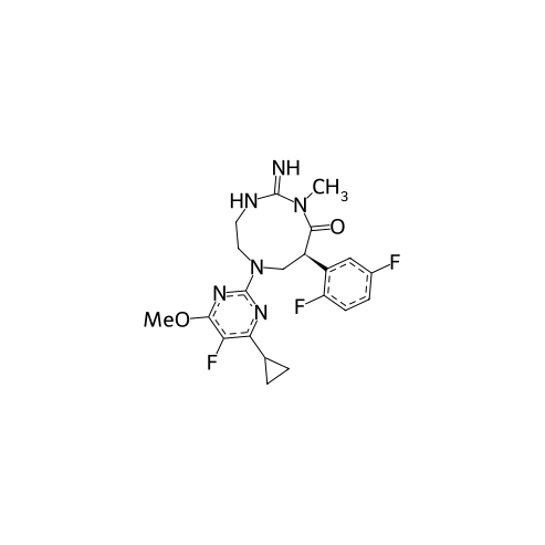 COc1nc(N2CCNC(=N)N(C)C(=O)[C@@H](c3cc(F)ccc3F)C2)nc(C2CC2)c1F